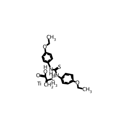 C=C(C)C(=O)O.CCOc1ccc(NC(=S)Nc2ccc(OCC)cc2)cc1.[Ti]